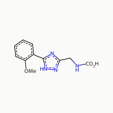 COc1ccccc1-c1nc(CNC(=O)O)n[nH]1